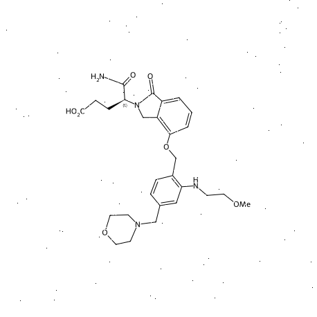 COCCNc1cc(CN2CCOCC2)ccc1COc1cccc2c1CN([C@@H](CCC(=O)O)C(N)=O)C2=O